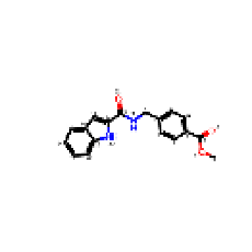 COC(=O)c1ccc(CNC(=O)c2cc3ccccc3[nH]2)cc1